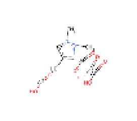 Cc1cn(C)[n+](C)c1.[O]=[Al][O-].[O]=[Al][OH].[O]=[Al][OH].[O]=[Al][OH]